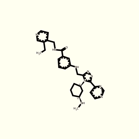 CCc1cnccc1CNC(=O)c1cccc(NCc2nnc(-c3ccncn3)n2[C@@H]2CCC[C@H](NC)C2)c1